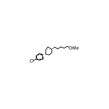 COCCCCC[C@H]1CC[C@H](c2ccc(Cl)cc2)CC1